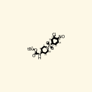 CC(C)(C)OC(=O)NC1CCN(S(=O)(=O)c2ccc(N=O)c(Cl)c2)CC1